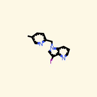 Cc1ccc(Cn2cc(I)c3ncccc32)nc1